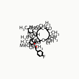 CC[C@H]1OC(=O)[C@H](C)[C@@H](O[C@H]2C[C@@](C)(OC)[C@@H](O)[C@H](C)O2)[C@H](C)[C@@H](O[C@@H]2O[C@H](C)C[C@H](N(C)CCC(=O)NCCc3ccc(F)cc3)[C@H]2O)[C@](C)(OC)C[C@@H](C)C(=O)[C@H](C)[C@@H](O)[C@]1(C)O